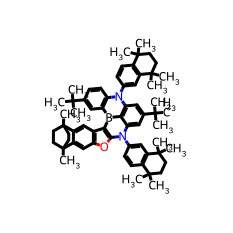 CC(C)(C)c1ccc2c(c1)B1c3c(cc(C(C)(C)C)cc3N(c3ccc4c(c3)C(C)(C)CCC4(C)C)c3oc4cc5c(cc4c31)C1(C)CCC5(C)CC1)N2c1ccc2c(c1)C(C)(C)CCC2(C)C